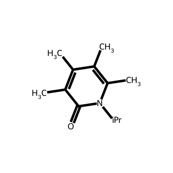 Cc1c(C)c(C)n(C(C)C)c(=O)c1C